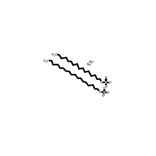 CCCCCCCCCCCCCCCCCCOS(=O)(=O)[O-].CCCCCCCCCCCCCCCCOS(=O)(=O)[O-].[Na+].[Na+]